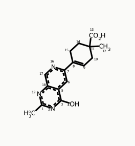 Cc1nc(O)c2cc(C3=CCC(C)(C(=O)O)CC3)ncc2n1